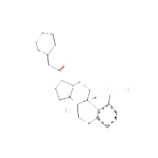 C[C@]12CC[C@@H]3c4c(cccc4C(=O)O)CC[C@H]3[C@@H]1CC[C@@H]2C(=O)CC1CCCCC1